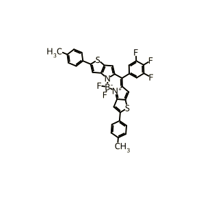 Cc1ccc(-c2cc3c(s2)=CC2=C(c4cc(F)c(F)c(F)c4)c4cc5sc(-c6ccc(C)cc6)cc5n4[B-](F)(F)[N+]=32)cc1